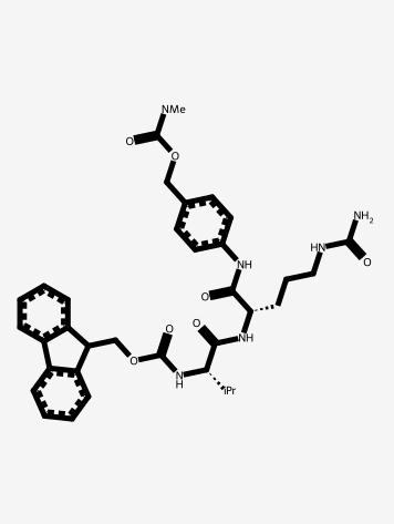 CNC(=O)OCc1ccc(NC(=O)[C@H](CCCNC(N)=O)NC(=O)[C@@H](NC(=O)OCC2c3ccccc3-c3ccccc32)C(C)C)cc1